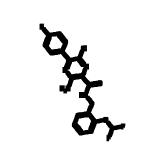 Nc1nc(-c2ccc(F)cc2)c(Cl)nc1C(=O)NCc1ccccc1OC(F)F